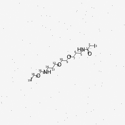 O=C(CI)NCCCOCCOCCCNCOCI